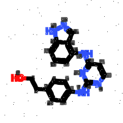 OCCc1ccc(Nc2nccc(Nc3cccc4[nH]ncc34)n2)cc1